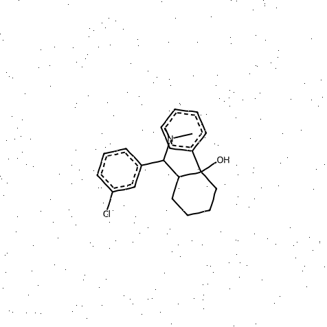 CN(C)C(c1cccc(Cl)c1)C1CCCCC1(O)c1ccccc1